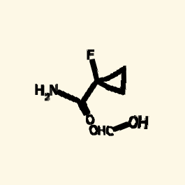 NC(=O)C1(F)CC1.O=CO